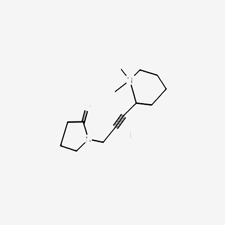 C[N+]1(C)CCCCC1C#CCN1CCCC1=O.[I-]